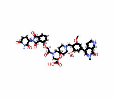 COc1cc(-c2cn(C)c(=O)c3cnccc23)cc(OC)c1CN1CCC2(CC1)CN(C(=O)COc1cccc3c1C(=O)N(C1CCC(=O)NC1=O)C3=O)CCO2.O=CO